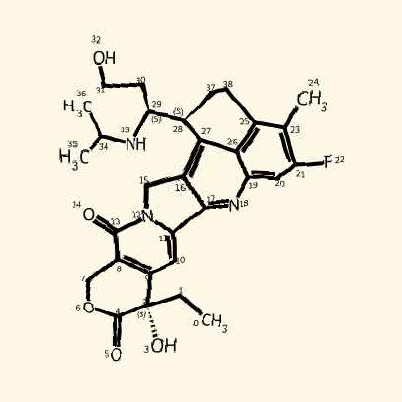 CC[C@@]1(O)C(=O)OCc2c1cc1n(c2=O)Cc2c-1nc1cc(F)c(C)c3c1c2[C@@H]([C@H](CCO)NC(C)C)CC3